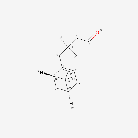 CC(C)(CC=O)CC1=CC[C@H]2C[C@H]1C2(C)C